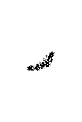 CN1C=C(c2ccnc(N3CCn4c5c(c(F)c4C3=O)CC(C)(C)C5)c2CO)C=C(Nc2ccc(N3CCC4(CC3)COC4)cn2)C1=C=O